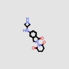 O=C1c2ccc(NC3CNC3)cc2CN1N1C(=O)CCCC1=O